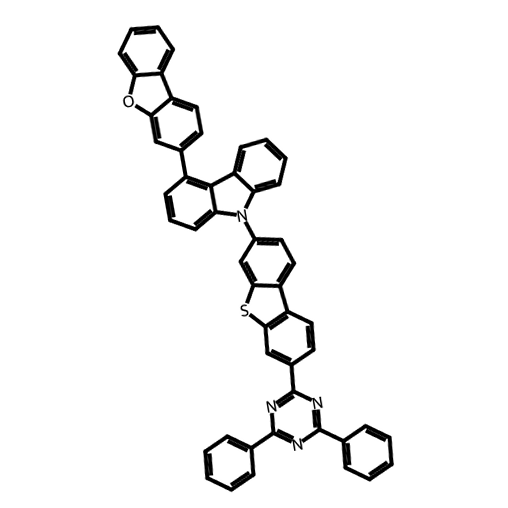 c1ccc(-c2nc(-c3ccccc3)nc(-c3ccc4c(c3)sc3cc(-n5c6ccccc6c6c(-c7ccc8c(c7)oc7ccccc78)cccc65)ccc34)n2)cc1